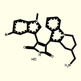 Cl.Cn1cc(C2=C(c3c4n(c5ccccc35)CCC(CN)C4)C(=O)NC2=O)c2cc(Br)ccc21